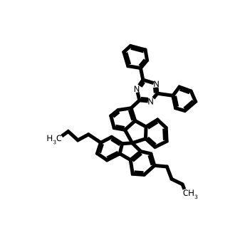 CCCCc1ccc2c(c1)C1(c3cc(CCCC)ccc3-2)c2ccccc2-c2c(-c3nc(-c4ccccc4)nc(-c4ccccc4)n3)cccc21